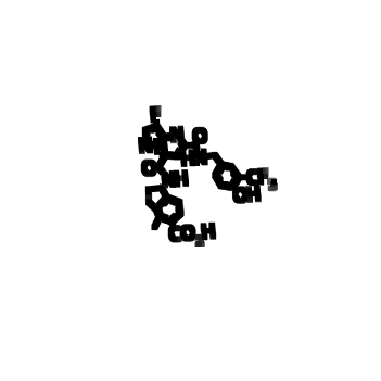 Cc1c(C(=O)O)ccc2c1CC[C@@H]2NC(=O)c1cc(C(=O)NCc2ccc(O)c(C(F)(F)F)c2)nc2c(F)cnn12